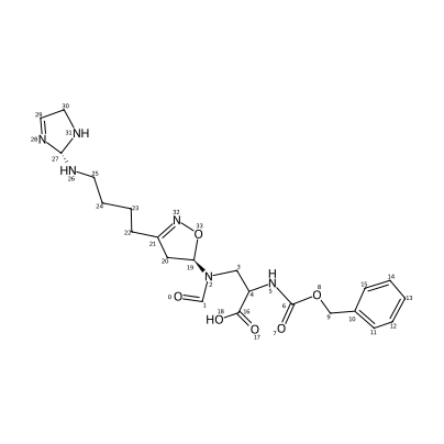 O=CN(CC(NC(=O)OCc1ccccc1)C(=O)O)[C@H]1CC(CCCCN[C@@H]2N=CCN2)=NO1